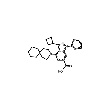 O=C(O)c1cc(N2CCC3(CCCCC3)CC2)c2c(C3CCC3)nn(-c3ccccc3)c2n1